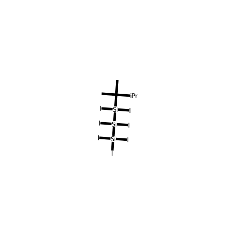 CC(C)C(C)(C)[Si](I)(I)[Si](I)(I)[Si](I)(I)I